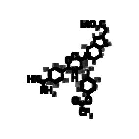 CCOC(=O)Cc1cc2c(s1)CCN(C(=O)[C@H](Cc1ccc(OC(=O)C(F)(F)F)cc1)NC(=O)c1ccc(C(=N)N)cc1)C2